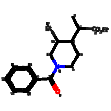 CCOC(=O)C(C)C1CCN(C(=O)c2ccccc2)CC1CC